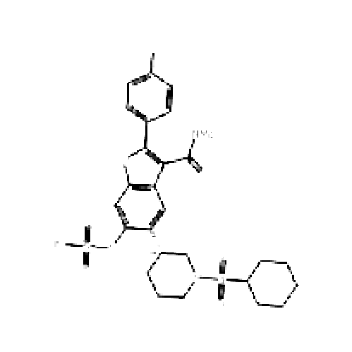 CCS(=O)(=O)Nc1cc2oc(-c3ccc(F)cc3)c(C(=O)NC)c2cc1[C@H]1CCCN(S(=O)(=O)C2CCCCC2)C1